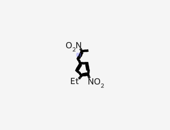 CCc1cc(/C=C(\C)[N+](=O)[O-])ccc1[N+](=O)[O-]